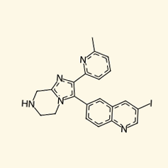 Cc1cccc(-c2nc3n(c2-c2ccc4ncc(I)cc4c2)CCNC3)n1